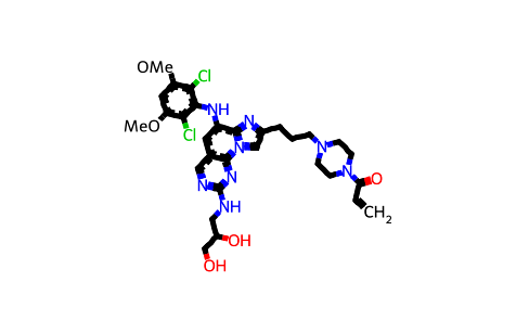 C=CC(=O)N1CCN(CCCc2cn3c(n2)c(Nc2c(Cl)c(OC)cc(OC)c2Cl)cc2cnc(NCC(O)CO)nc23)CC1